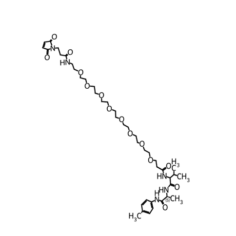 Cc1ccc(NC(=O)[C@H](C)NC(=O)C(NC(=O)CCOCCOCCOCCOCCOCCOCCOCCOCCNC(=O)CCN2C(=O)C=CC2=O)C(C)C)cc1